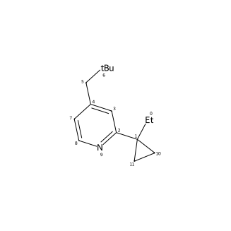 CCC1(c2cc(CC(C)(C)C)ccn2)CC1